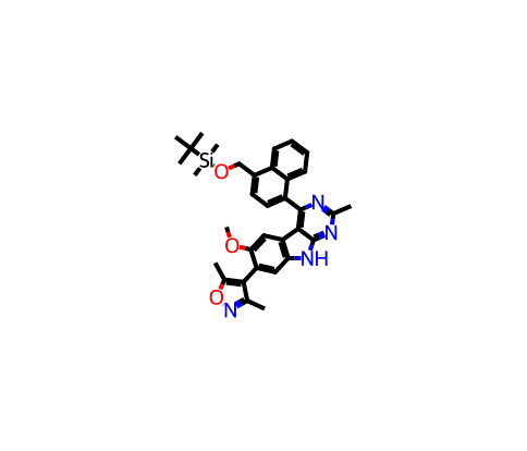 COc1cc2c(cc1-c1c(C)noc1C)[nH]c1nc(C)nc(-c3ccc(CO[Si](C)(C)C(C)(C)C)c4ccccc34)c12